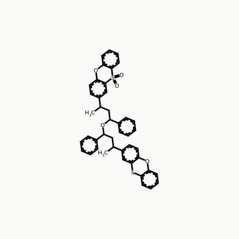 CC(CC(OC(CC(C)c1ccc2c(c1)S(=O)(=O)c1ccccc1O2)c1ccccc1)c1ccccc1)c1ccc2c(c1)Sc1ccccc1O2